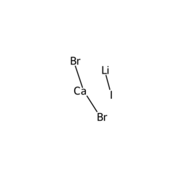 [Br][Ca][Br].[Li][I]